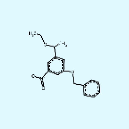 CCOC(C)c1cc(OCc2ccccc2)cc([N+](=O)[O-])c1